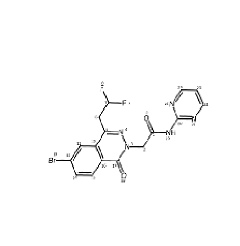 O=C(Cn1nc(CC(F)F)c2cc(Br)ccc2c1=O)Nc1ncccn1